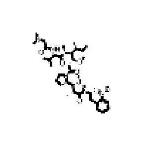 CC[C@H](C)[C@@H]([C@@H](CC(=O)N1CCC[C@H]1[C@H](OC)[C@@H](C)C(=O)N(C)CCc1ccccc1[N+](=O)[O-])OC)N(C)C(=O)[C@@H](NC(=O)CN(C)C)C(C)C